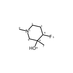 CN1CCC(F)C(C)(O)C1